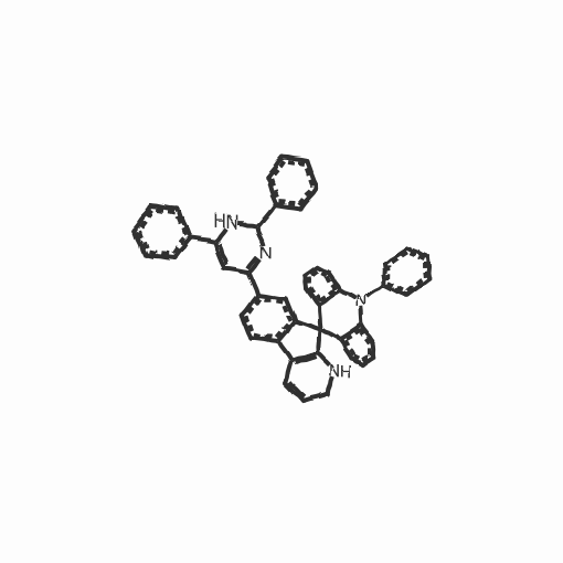 C1=CC2=C(NC1)C1(c3cc(C4=NC(c5ccccc5)NC(c5ccccc5)=C4)ccc32)c2ccccc2N(c2ccccc2)c2ccccc21